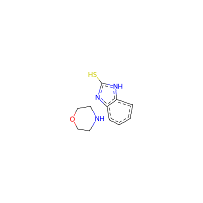 C1COCCN1.Sc1nc2ccccc2[nH]1